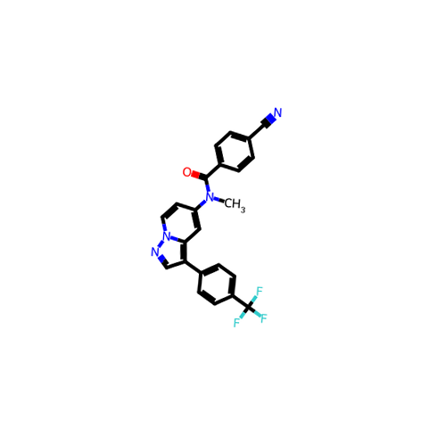 CN(C(=O)c1ccc(C#N)cc1)c1ccn2ncc(-c3ccc(C(F)(F)F)cc3)c2c1